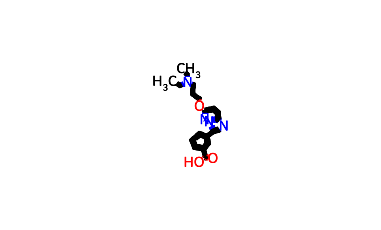 CCN(CC)CCCOc1ccc2ncc(-c3cccc(C(=O)O)c3)n2n1